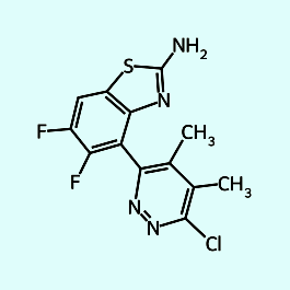 Cc1c(Cl)nnc(-c2c(F)c(F)cc3sc(N)nc23)c1C